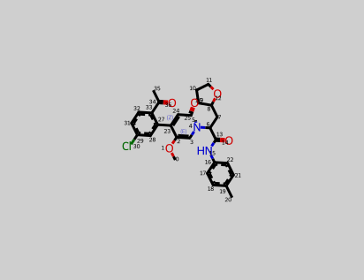 COC(=C/N(C)C(CC1CCCO1)C(=O)Nc1ccc(C)cc1)/C(=C\C=O)c1cc(Cl)ccc1C(C)=O